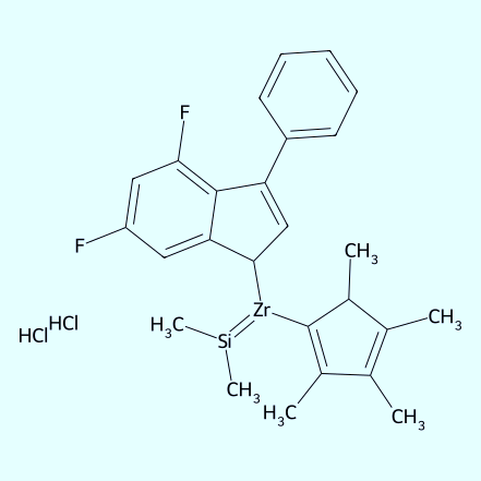 CC1=C(C)C(C)[C]([Zr]([CH]2C=C(c3ccccc3)c3c(F)cc(F)cc32)=[Si](C)C)=C1C.Cl.Cl